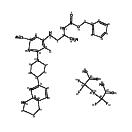 COc1nc(NCC(NC(=O)OCc2ccccc2)C(=O)O)c(C)c(N2CCC(c3ccc4c(n3)NCCC4)CC2)n1.O=C(O)C(F)(F)F.O=C(O)C(F)(F)F